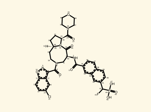 O=C(N[C@H]1CN(C(=O)c2noc3ccc(Cl)cc23)CC[C@H]2CC[C@@H](C(=O)N3CCOCC3)N2C1=O)c1ccc2ccc(C(F)P(=O)(O)O)cc2c1